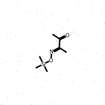 CC(=O)C(C)=NO[Si](C)(C)C